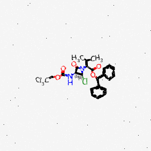 CC(C)=C(C(=O)OC(c1ccccc1)c1ccccc1)N1C(=O)[C@H](NC(=O)OCC(Cl)(Cl)Cl)[C@H]1Cl